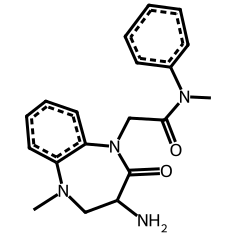 CN1CC(N)C(=O)N(CC(=O)N(C)c2ccccc2)c2ccccc21